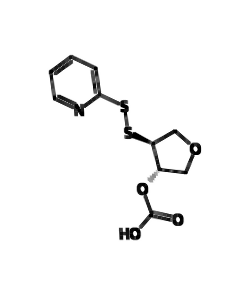 O=C(O)O[C@H]1COC[C@@H]1SSc1ccccn1